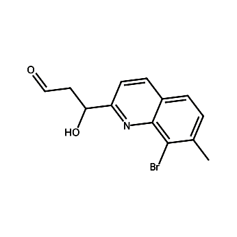 Cc1ccc2ccc(C(O)CC=O)nc2c1Br